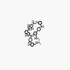 NCc1cccc(C2CCN(C(=O)c3cccc(OCC(=O)N4C[C@@H]5OB(c6cccc7[nH]c(C(=O)N8CCC9(CC8)COc8ccc(CN)cc89)cc67)O[C@@H]5C4)c3)CC2)c1